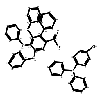 Clc1ccc([S+](c2ccccc2)c2ccccc2)cc1.O=C([O-])c1cc(Oc2ccccc2)c(Oc2ccccc2)c(Oc2ccccc2)c1-c1ccccc1